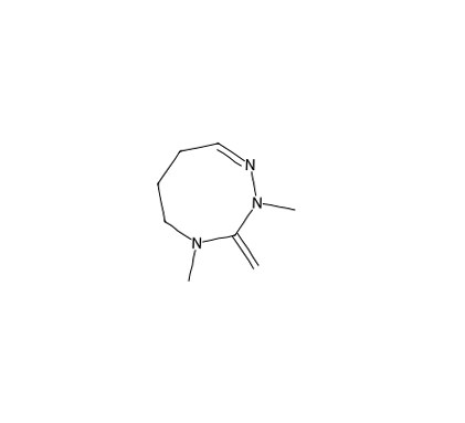 C=C1N(C)CCC/C=N\N1C